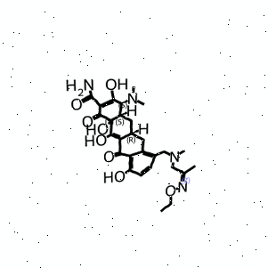 CCO/N=C(/C)CN(C)Cc1ccc(O)c2c1C[C@H]1C[C@H]3[C@H](N(C)C)C(O)=C(C(N)=O)C(=O)[C@@]3(O)C(O)=C1C2=O